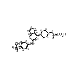 CN(CC1CCN(c2nc(Nc3ccc(C(C)(C)C#N)cc3)nc3ccoc23)CC1)C(=O)O